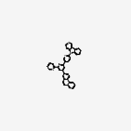 c1ccc(-c2cc(-c3ccc4c(ccc5ccccc54)c3)cc(-c3ccc(-n4c5ccccc5c5cnccc54)nc3)n2)nc1